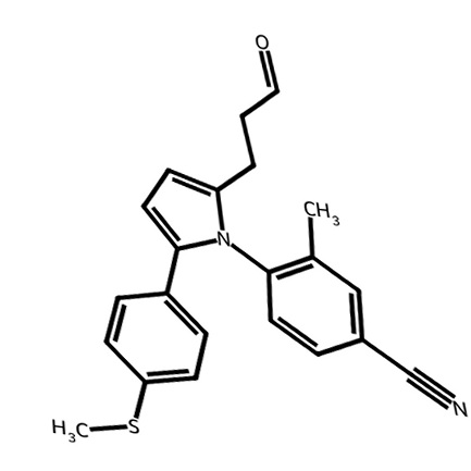 CSc1ccc(-c2ccc(CCC=O)n2-c2ccc(C#N)cc2C)cc1